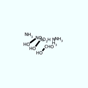 N.N.N.O=CO.O=S(=O)(O)O.O=[N+]([O-])O